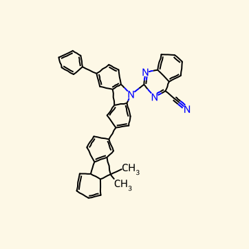 CC1(C)c2cc(-c3ccc4c(c3)c3cc(-c5ccccc5)ccc3n4-c3nc(C#N)c4ccccc4n3)ccc2C2C=CC=CC21